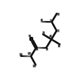 CC(C)CC(C)(C)CC(=O)C(C)C